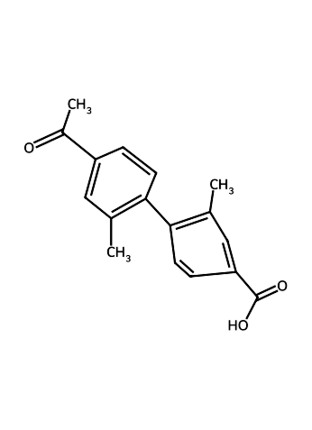 CC(=O)c1ccc(-c2ccc(C(=O)O)cc2C)c(C)c1